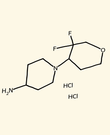 Cl.Cl.NC1CCN(C2CCOCC2(F)F)CC1